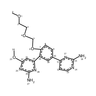 COCCOCOc1ccc(-c2ccnc(N)n2)cc1-c1cc(OC)nc(N)n1